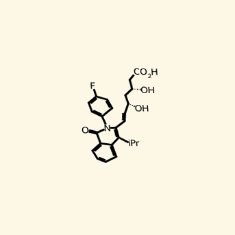 CC(C)c1c(/C=C/[C@@H](O)C[C@@H](O)CC(=O)O)n(-c2ccc(F)cc2)c(=O)c2ccccc12